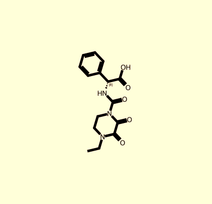 CCN1CCN(C(=O)N[C@@H](C(=O)O)c2ccccc2)C(=O)C1=O